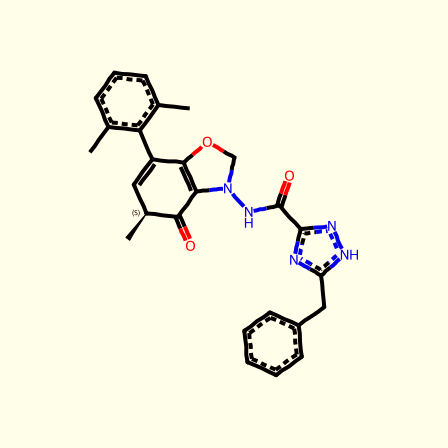 Cc1cccc(C)c1C1=C[C@H](C)C(=O)C2=C1OCN2NC(=O)c1n[nH]c(Cc2ccccc2)n1